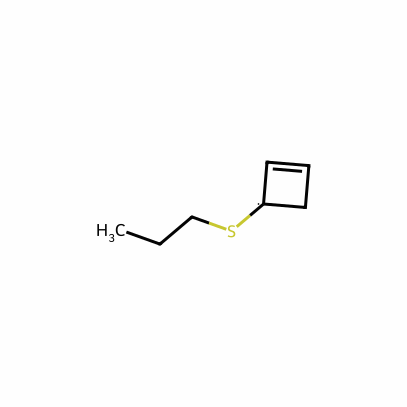 CCCS[C]1C=CC1